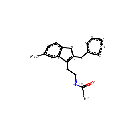 COc1ccc2c(c1)C(CCNC(=O)C(F)(F)F)=C(Cc1ccccc1)C2